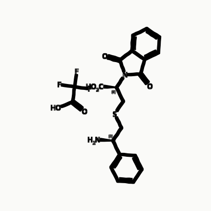 N[C@@H](CSC[C@@H](C(=O)O)N1C(=O)c2ccccc2C1=O)c1ccccc1.O=C(O)C(F)(F)F